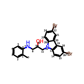 Cc1ccccc1NCC(O)Cn1c2ccc(Br)cc2c2cc(Br)ccc21